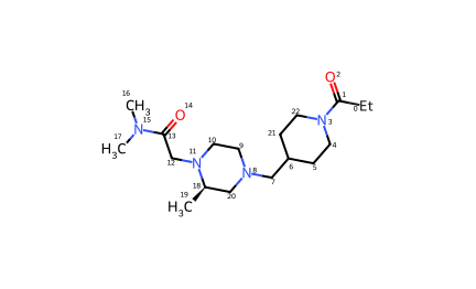 CCC(=O)N1CCC(CN2CCN(CC(=O)N(C)C)[C@H](C)C2)CC1